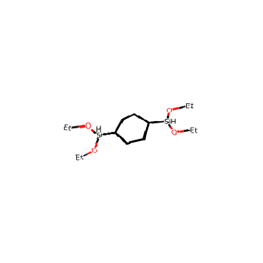 CCO[SiH](OCC)C1CCC([SiH](OCC)OCC)CC1